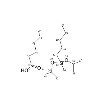 CCCCCS(=O)O.CCCCC[Si](C)(OC(C)C)OC(C)C